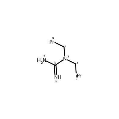 CC(C)CN(CC(C)C)C(=N)N